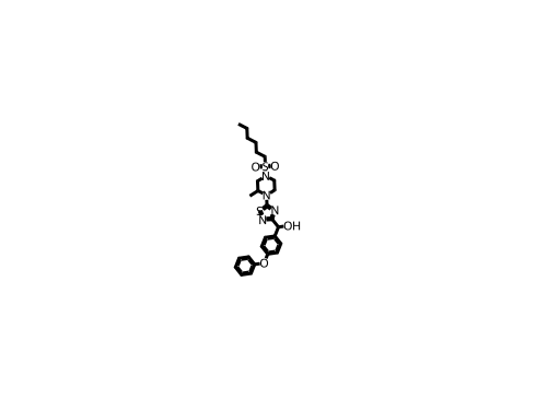 CCCCCCS(=O)(=O)N1CCN(c2nc(C(O)c3ccc(Oc4ccccc4)cc3)ns2)C(C)C1